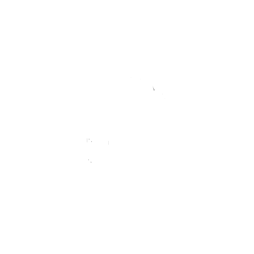 O=C(c1ccc(-c2ccc(Nc3nc4ccccc4s3)c(F)c2)cc1)C1C[C@H]1C(=O)O